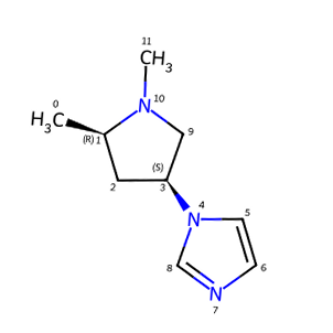 C[C@@H]1C[C@H](n2ccnc2)CN1C